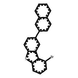 Brc1cccc2sc3ccc(-c4ccc5ccccc5c4)cc3c12